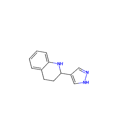 c1ccc2c(c1)CCC(c1cn[nH]c1)N2